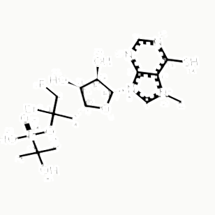 CCC(CF)(C[C@H]1O[C@@H](n2c[n+](C)c3c(S)ncnc32)[C@H](O)[C@@H]1O)OP(=O)(O)C(C)(C)O